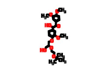 COc1ccc(C(=O)C(O)c2ccc(OCC(CO)OCCOC(C)(C)C)c(OC)c2)cc1OC